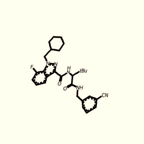 CC(C)(C)C(NC(=O)c1nn(CC2CCCCC2)c2c(F)cccc12)C(=O)NCc1cccc(C#N)c1